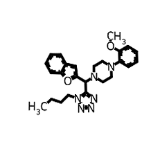 CCCCn1nnnc1C(c1cc2ccccc2o1)N1CCN(c2ccccc2OC)CC1